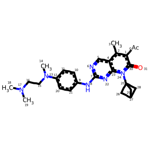 CC(=O)c1c(C)c2cnc(Nc3ccc(N(C)CCN(C)C)cc3)nc2n(C23CC(C2)C3)c1=O